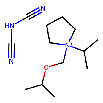 CC(C)OC[N+]1(C(C)C)CCCC1.N#CNC#N